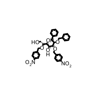 O=[N+]([O-])c1ccc(CO[C@H](C(Cc2ccccc2)OCc2ccccc2)[C@@H](O)[C@H](O)[C@@H](CO)OCc2ccc([N+](=O)[O-])cc2)cc1